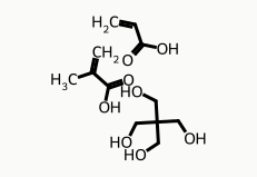 C=C(C)C(=O)O.C=CC(=O)O.OCC(CO)(CO)CO